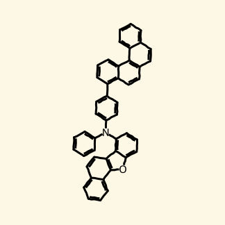 c1ccc(N(c2ccc(-c3cccc4c3ccc3ccc5ccccc5c34)cc2)c2cccc3oc4c5ccccc5ccc4c23)cc1